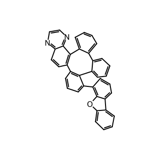 c1ccc2c(c1)-c1ccccc1-c1c(ccc3nccnc13)-c1cccc(-c3cccc4c3oc3ccccc34)c1-2